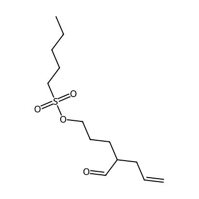 C=CCC(C=O)CCCOS(=O)(=O)CCCCC